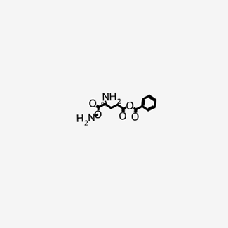 NOC(=O)[C@@H](N)CCC(=O)OC(=O)c1ccccc1